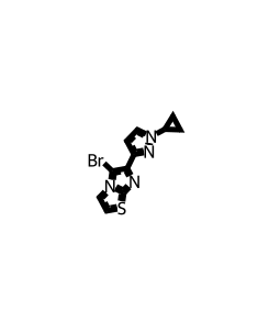 Brc1c(-c2ccn(C3CC3)n2)nc2sccn12